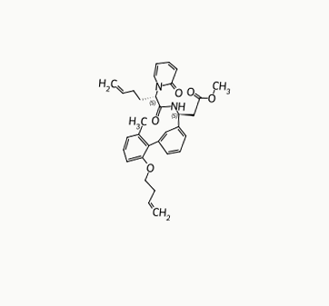 C=CCCOc1cccc(C)c1-c1cccc([C@H](CC(=O)OC)NC(=O)[C@H](CCC=C)n2ccccc2=O)c1